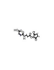 O=C(O)/C=C\C(=O)NCCC(=O)ON1C(=O)CCC1=O